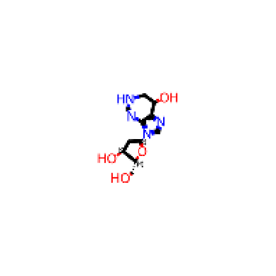 OC[C@H]1O[C@@H](n2cnc3c2N=CNCC3O)C[C@@H]1O